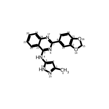 Cc1cc(Nc2nc(-c3ccc4c(c3)OCO4)nc3ccccc23)[nH]n1